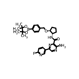 CC1(C)OB(c2ccc(CO[C@H]3CCC[C@@H]3NC(=O)c3nc(-c4ccc(F)nc4)cnc3N)cc2)OC1(C)C